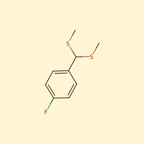 CSC(SC)c1ccc(F)cc1